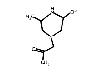 CC(=O)CN1CC(C)NC(C)C1